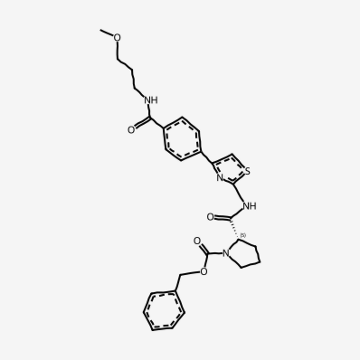 COCCCNC(=O)c1ccc(-c2csc(NC(=O)[C@@H]3CCCN3C(=O)OCc3ccccc3)n2)cc1